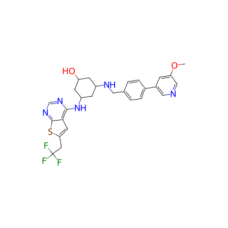 COc1cncc(-c2ccc(CNC3CC(O)CC(Nc4ncnc5sc(CC(F)(F)F)cc45)C3)cc2)c1